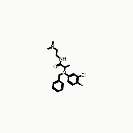 CC(C(=O)NCCN(C)C)N(Cc1ccccc1)c1ccc(F)c(Cl)c1